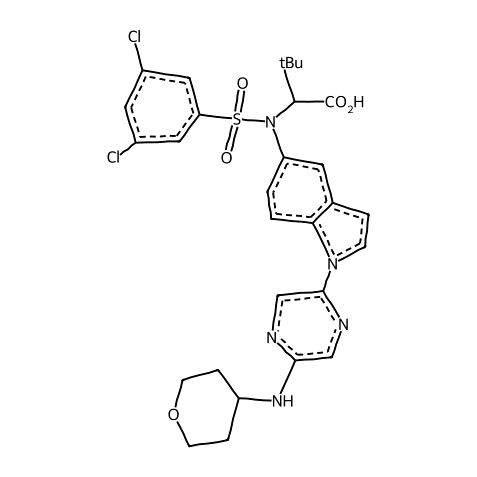 CC(C)(C)C(C(=O)O)N(c1ccc2c(ccn2-c2cnc(NC3CCOCC3)cn2)c1)S(=O)(=O)c1cc(Cl)cc(Cl)c1